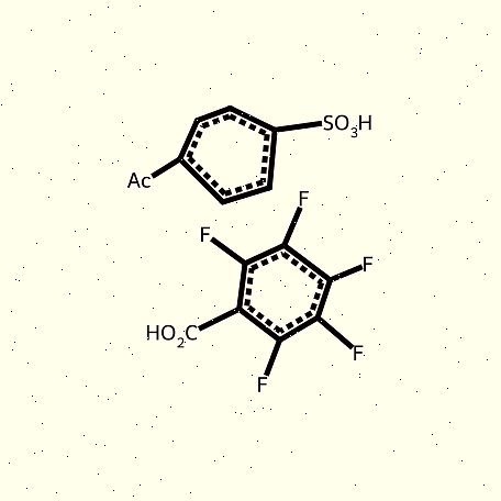 CC(=O)c1ccc(S(=O)(=O)O)cc1.O=C(O)c1c(F)c(F)c(F)c(F)c1F